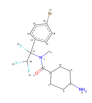 CN(C(=O)C1CCC(N)CC1)C(F)(c1ccc(Br)cc1)C(F)F